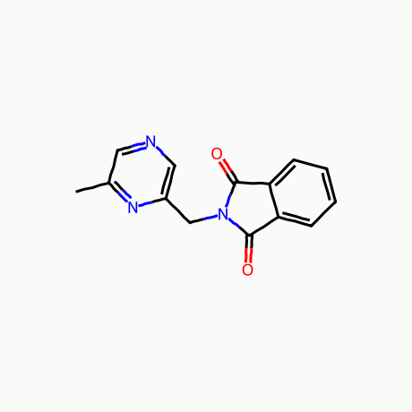 Cc1cncc(CN2C(=O)c3ccccc3C2=O)n1